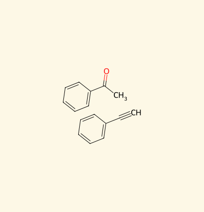 C#Cc1ccccc1.CC(=O)c1ccccc1